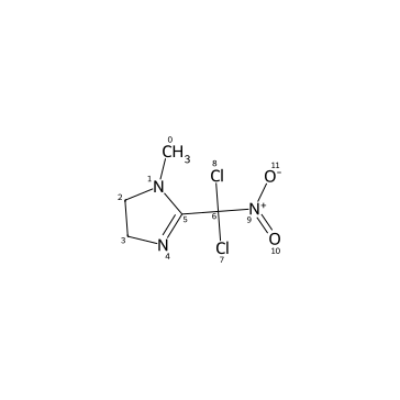 CN1CCN=C1C(Cl)(Cl)[N+](=O)[O-]